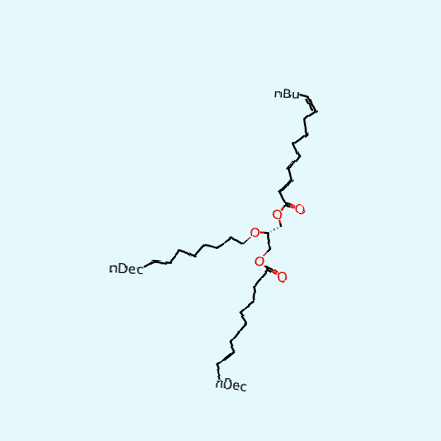 CCCC/C=C\CCCCCCCC(=O)OC[C@H](COC(=O)CCCCCCCCCCCCCCCCC)OCCCCCCCCCCCCCCCCCC